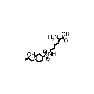 C=C(O)CN1CCC(S(=O)(=O)NCCCC[C@@H](N)C(=O)O)CC1